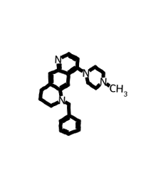 CN1CCN(c2ccnc3cc4c(cc23)N(Cc2ccccc2)CCC4)CC1